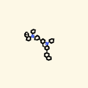 c1ccc(N2c3ccc(-c4ccc(N(c5ccccc5)c5cccc6ccccc56)cc4)cc3Cc3cc(-c4ccc5ccccc5c4)ccc32)cc1